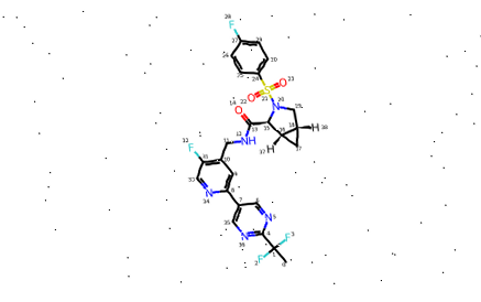 CC(F)(F)c1ncc(-c2cc(CNC(=O)[C@@H]3[C@H]4C[C@H]4CN3S(=O)(=O)c3ccc(F)cc3)c(F)cn2)cn1